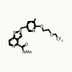 CNC(=O)c1nccc2nn(Cc3cnc(OCCOCC(F)(F)F)c(C)c3)cc12